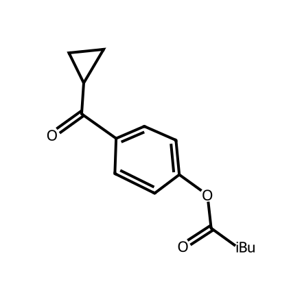 CCC(C)C(=O)Oc1ccc(C(=O)C2CC2)cc1